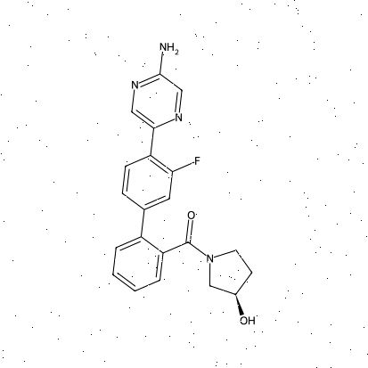 Nc1cnc(-c2ccc(-c3ccccc3C(=O)N3CC[C@@H](O)C3)cc2F)cn1